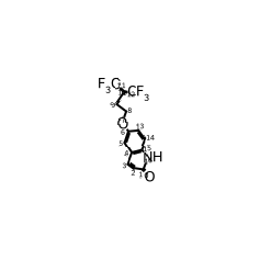 O=c1ccc2cc(OCCC(C(F)(F)F)C(F)(F)F)ccc2[nH]1